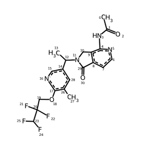 CC(=O)Nc1nccc2c1CN(C(C)c1cnc(OCC(F)(F)C(F)F)c(C)c1)C2=O